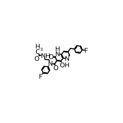 CC(=O)NCCN(C(=O)c1c(O)c2ncc(Cc3ccc(F)cc3)cc2[nH]c1=O)c1ccc(F)cc1